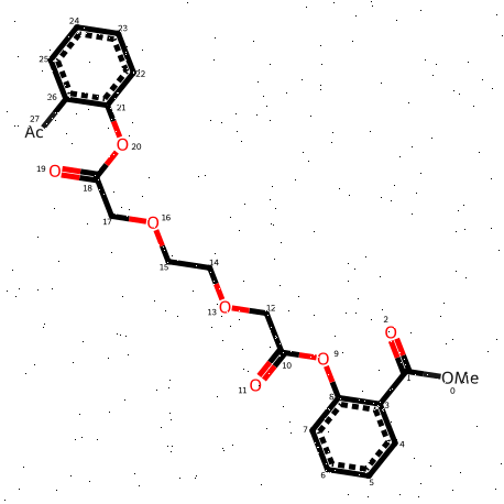 COC(=O)c1ccccc1OC(=O)COCCOCC(=O)Oc1ccccc1C(C)=O